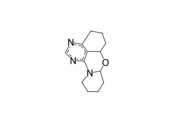 c1nc2c3c(n1)N1CCCCC1OC3CCC2